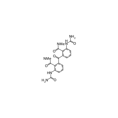 CNC(=O)c1c(NC(N)=O)cccc1C(=O)c1cccc(NC(N)=O)c1C(=O)NC